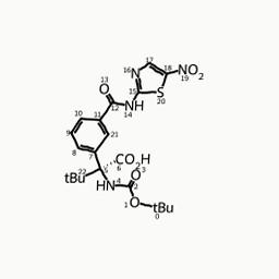 CC(C)(C)OC(=O)N[C@](C(=O)O)(c1cccc(C(=O)Nc2ncc([N+](=O)[O-])s2)c1)C(C)(C)C